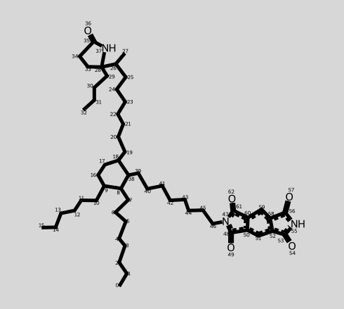 CCCCCCCCC1C(CCCCCC)CCC(CCCCCCCC(C)C2(CCCC)CCC(=O)N2)C1CCCCCCCCn1c(=O)c2cc3c(=O)[nH]c(=O)c3cc2c1=O